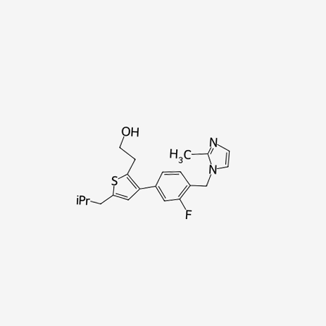 Cc1nccn1Cc1ccc(-c2cc(CC(C)C)sc2CCO)cc1F